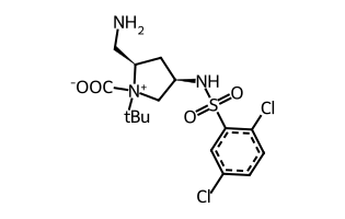 CC(C)(C)[N+]1(C(=O)[O-])C[C@H](NS(=O)(=O)c2cc(Cl)ccc2Cl)C[C@@H]1CN